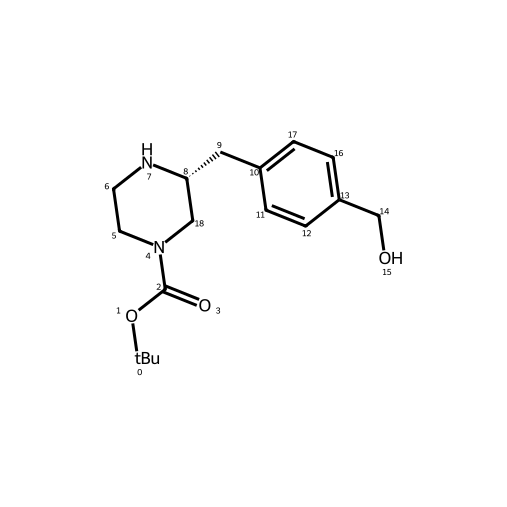 CC(C)(C)OC(=O)N1CCN[C@H](Cc2ccc(CO)cc2)C1